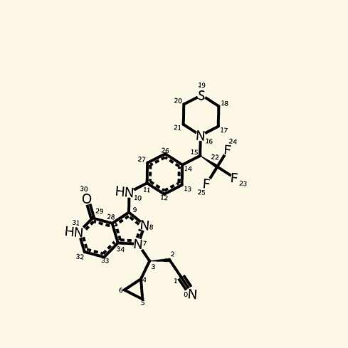 N#CC[C@@H](C1CC1)n1nc(Nc2ccc([C@@H](N3CCSCC3)C(F)(F)F)cc2)c2c(=O)[nH]ccc21